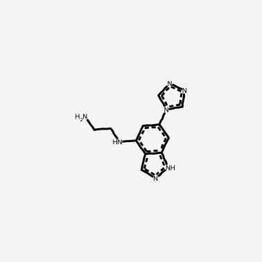 NCCNc1cc(-n2cnnc2)cc2[nH]ncc12